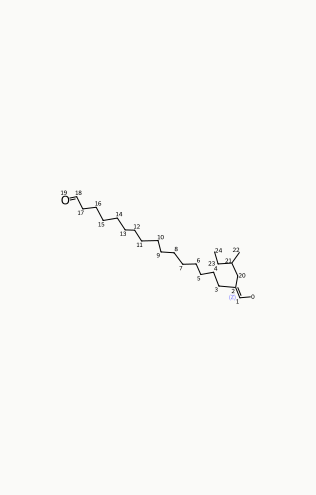 C/C=C(/CCCCCCCCCCCCCCCC=O)CC(C)CC